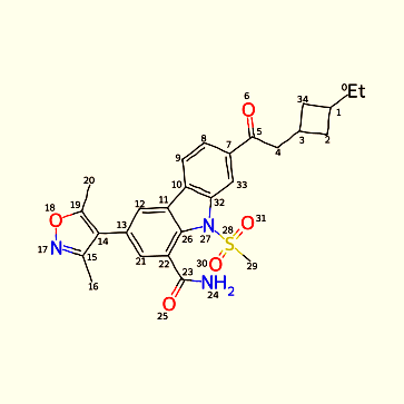 CCC1CC(CC(=O)c2ccc3c4cc(-c5c(C)noc5C)cc(C(N)=O)c4n(S(C)(=O)=O)c3c2)C1